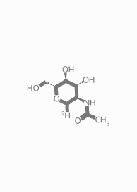 [2H][C]1O[C@H](CO)[C@@H](O)[C@H](O)[C@H]1NC(C)=O